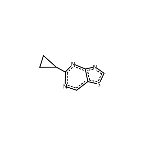 [c]1nc2nc(C3CC3)ncc2s1